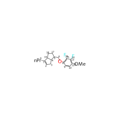 CCCC1=CCC2C(COc3ccc(OC)c(F)c3F)CCC12